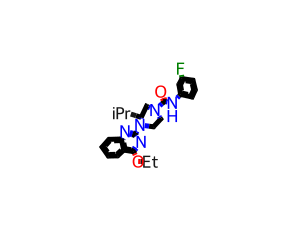 CCOc1nc(N2CCN(C(=O)Nc3cccc(F)c3)CC2C(C)C)nc2ccccc12